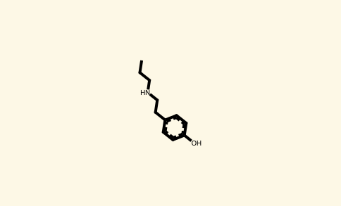 CCCNCCc1ccc(O)cc1